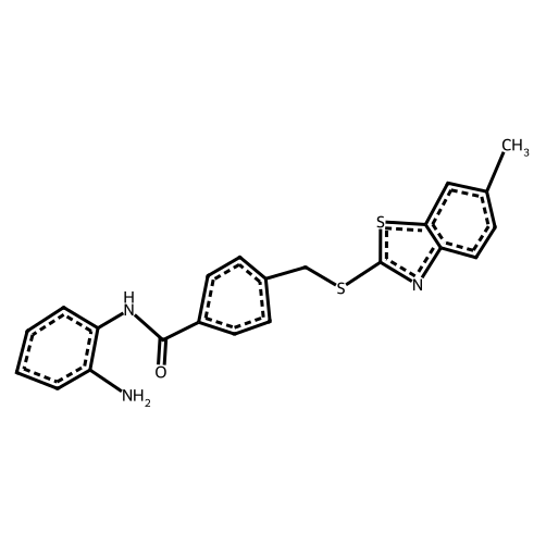 Cc1ccc2nc(SCc3ccc(C(=O)Nc4ccccc4N)cc3)sc2c1